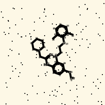 CCCOc1ccc(NC(=O)CN2CCCCC2)c(NCCOc2c(C)cccc2C)c1